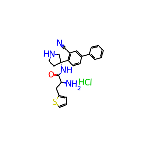 Cl.N#Cc1cc(-c2ccccc2)ccc1[C@@]1(NC(=O)[C@@H](N)Cc2cccs2)CCNC1